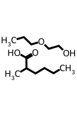 CCCCC(C)C(=O)O.CCCOCCO